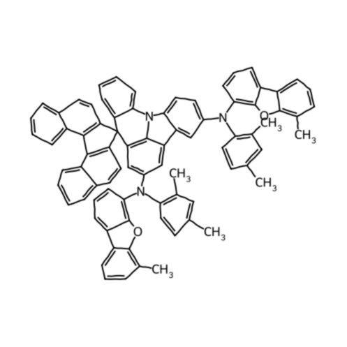 Cc1ccc(N(c2ccc3c(c2)c2cc(N(c4ccc(C)cc4C)c4cccc5c4oc4c(C)cccc45)cc4c2n3-c2ccccc2C42c3ccc4ccccc4c3-c3c2ccc2ccccc32)c2cccc3c2oc2c(C)cccc23)c(C)c1